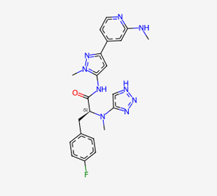 CNc1cc(-c2cc(NC(=O)[C@H](Cc3ccc(F)cc3)N(C)c3c[nH]nn3)n(C)n2)ccn1